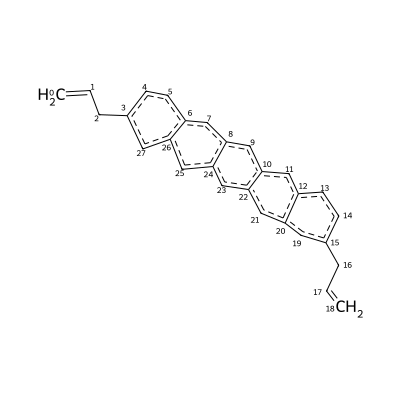 C=CCc1ccc2cc3cc4cc5ccc(CC=C)cc5cc4cc3cc2c1